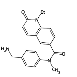 CCn1c(=O)ccc2cc(C(=O)N(C)c3ccc(CN)cc3)ccc21